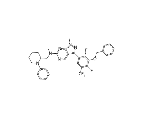 CN(CC1CCCCN1c1ccccc1)c1ncc2c(-c3cc(C(F)(F)F)c(F)c(OCc4ccccc4)c3F)nn(C)c2n1